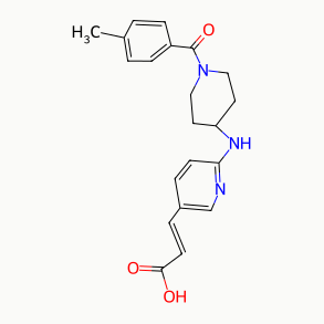 Cc1ccc(C(=O)N2CCC(Nc3ccc(/C=C/C(=O)O)cn3)CC2)cc1